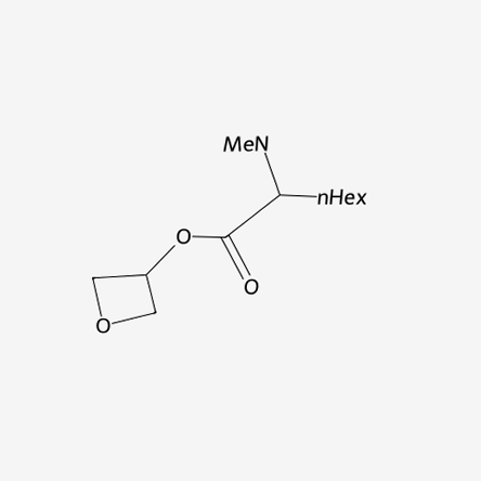 CCCCCCC(NC)C(=O)OC1COC1